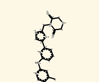 Cc1ccnc(Nc2cccc(-c3cnc(CN4C(=O)COCC4=O)s3)n2)c1